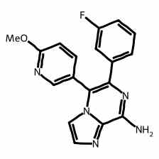 COc1ccc(-c2c(-c3cccc(F)c3)nc(N)c3nccn23)cn1